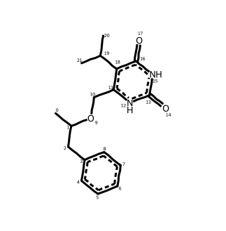 CC(Cc1ccccc1)OCc1[nH]c(=O)[nH]c(=O)c1C(C)C